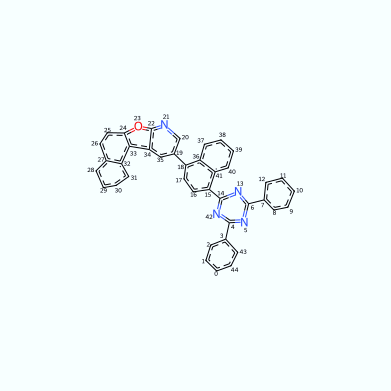 c1ccc(-c2nc(-c3ccccc3)nc(-c3ccc(-c4cnc5oc6ccc7ccccc7c6c5c4)c4ccccc34)n2)cc1